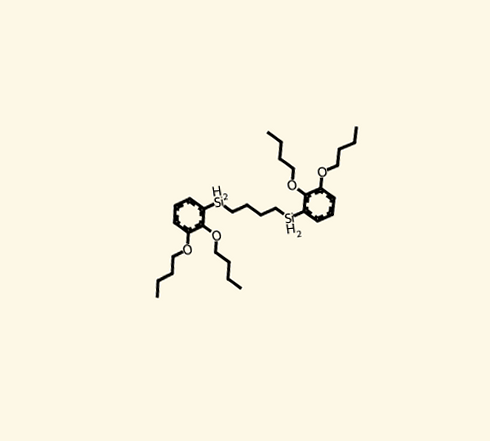 CCCCOc1cccc([SiH2]CCCC[SiH2]c2cccc(OCCCC)c2OCCCC)c1OCCCC